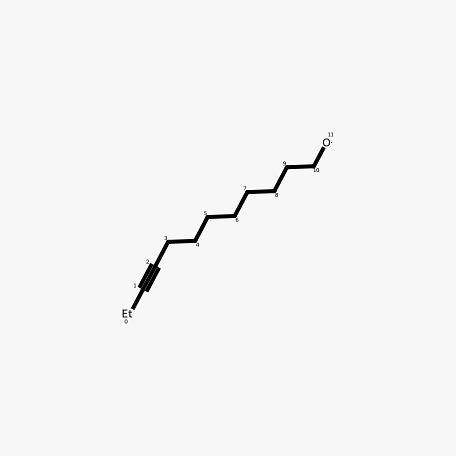 CCC#CCCCCCCCC[O]